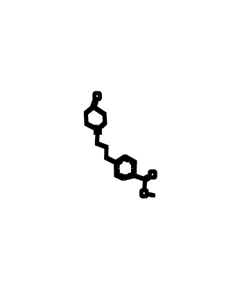 COC(=O)c1ccc(CCCN2CCC(=O)CC2)cc1